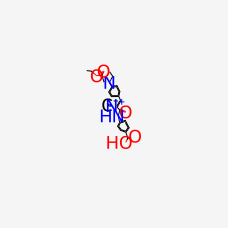 [C-]#[N+]C(=Cc1ccc(N(CC)CC(=O)OCC)cc1)C(=O)Nc1ccc(C(=O)O)cc1